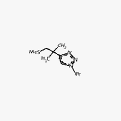 CSCC(C)(C)c1cn(C(C)C)nn1